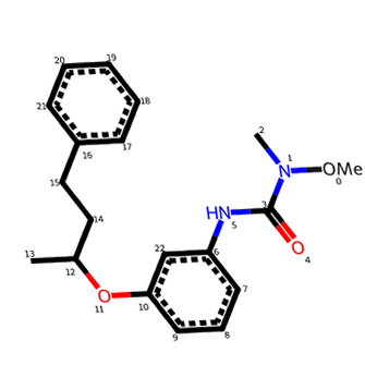 CON(C)C(=O)Nc1cccc(OC(C)CCc2ccccc2)c1